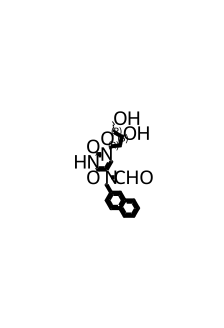 O=CN(Cc1ccc2ccccc2c1)c1cn([C@H]2C[C@H](O)[C@@H](CO)O2)c(=O)[nH]c1=O